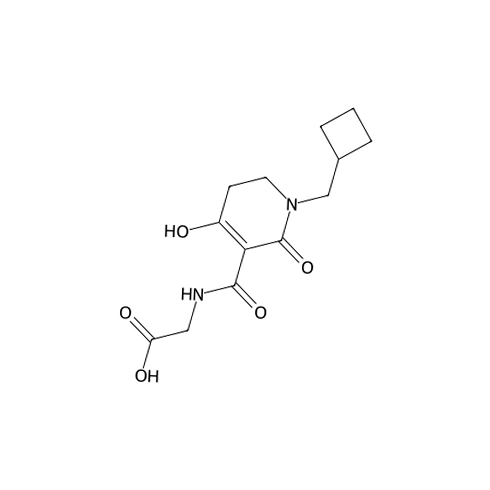 O=C(O)CNC(=O)C1=C(O)CCN(CC2CCC2)C1=O